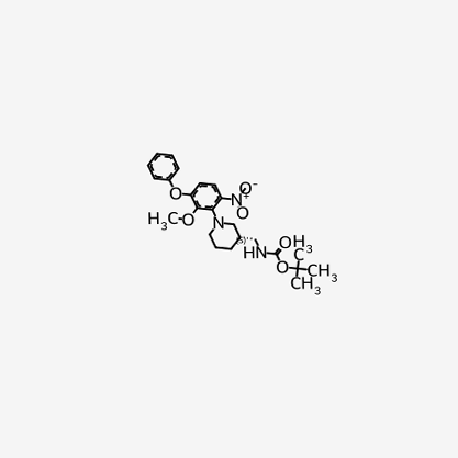 COc1c(Oc2ccccc2)ccc([N+](=O)[O-])c1N1CCC[C@@H](CNC(=O)OC(C)(C)C)C1